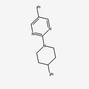 CC(C)c1cnc(N2CCC(C(C)C)CC2)nc1